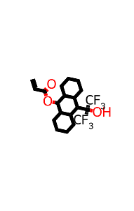 C=CC(=O)OC1C2CCCCC2C(C(O)(C(F)(F)F)C(F)(F)F)C2CCCCC21